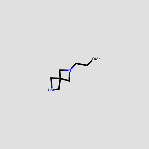 COCCN1CC2(CNC2)C1